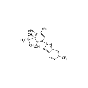 CCCc1c(C(C)(C)C)cc(-n2nc3ccc(C(F)(F)F)cc3n2)c(O)c1[Si](C)(C)C